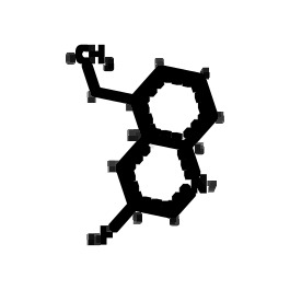 CCc1cccc2ncc(F)cc12